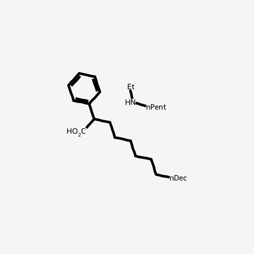 CCCCCCCCCCCCCCCCC(C(=O)O)c1ccccc1.CCCCCNCC